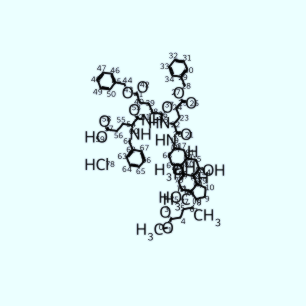 COC(=O)CCC(C)[C@H]1CC[C@H]2[C@@H]3[C@H](O)C[C@@H]4C[C@@H](NC(=O)C(CCC(=O)OCc5ccccc5)NC(=O)C(CCC(=O)OCc5ccccc5)NC(=O)C(CCC(=O)O)NCc5ccccc5)CC[C@]4(C)[C@H]3C[C@H](O)[C@]12C.Cl